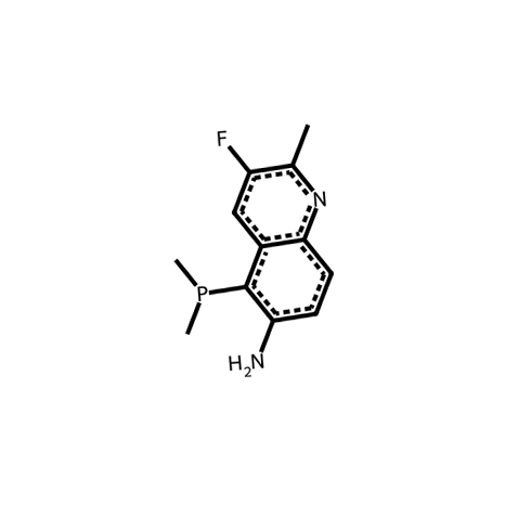 Cc1nc2ccc(N)c(P(C)C)c2cc1F